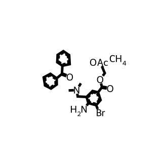 C.CC(=O)OCCOC(=O)c1cc(Br)c(N)c(CN(C)C)c1.O=C(c1ccccc1)c1ccccc1